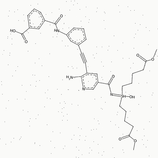 COC(=O)CCCC[SH](O)(CCCCC(=O)OC)=NC(=O)c1cnc(N)c(C#Cc2cccc(NC(=O)c3cccc(C(=O)O)c3)c2)c1